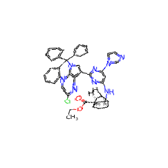 CCOC(=O)[C@@H]1C2CCC(CC2)[C@H]1Nc1cc(-n2ccnc2)nc(-c2cn(C(c3ccccc3)(c3ccccc3)c3ccccc3)c3ncc(Cl)nc23)n1